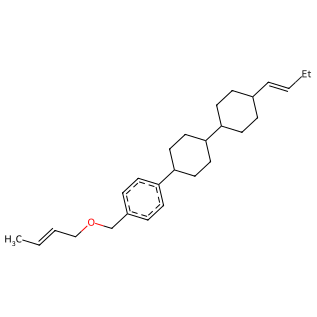 CC=CCOCc1ccc(C2CCC(C3CCC(/C=C/CC)CC3)CC2)cc1